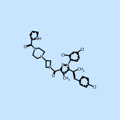 CC(=Cc1ccc(Cl)cc1)c1c(C)c(C(=O)N2CC(N3CCN(C(=O)c4ccc[nH]4)CC3)C2)nn1-c1ccc(Cl)cc1Cl